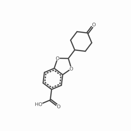 O=C1CCC(C2Oc3ccc(C(=O)O)cc3O2)CC1